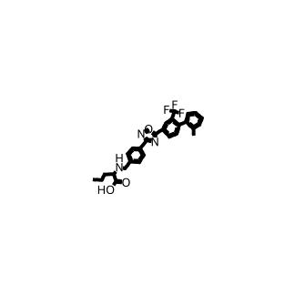 CCCC(NCc1ccc(-c2noc(-c3ccc(-c4ccccc4C)c(C(F)(F)F)c3)n2)cc1)C(=O)O